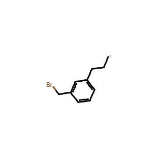 [CH]CCc1cccc(CBr)c1